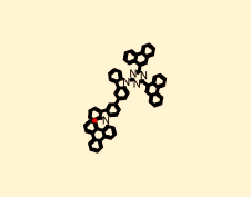 c1ccc2c(c1)cc(-c1nc(-c3cc4ccccc4c4ccccc34)nc(-n3c4ccccc4c4cc(-c5ccc6c(c5)c5ccccc5n6-c5cccc6c7ccccc7c7ccccc7c56)ccc43)n1)c1ccccc12